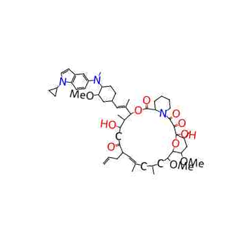 C=CCC1/C=C(\C)CC(C)CC(OC)C2OC(O)(C(=O)C(=O)N3CCCCC3C(=O)OC(C(C)=CC3CCC(N(C)c4ccc5c(ccn5C5CC5)c4)C(OC)C3)C(C)C(O)CC1=O)C(C)CC2OC